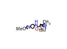 COC1CN(C2CCC(NC(=O)c3cc4c(C)nn(CC(C)(C)C)c4s3)CC2)C1